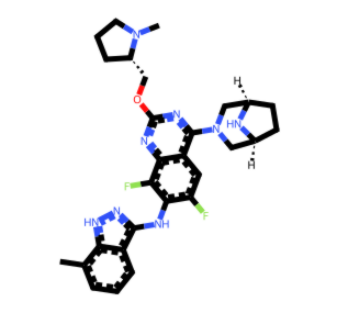 Cc1cccc2c(Nc3c(F)cc4c(N5C[C@H]6CC[C@@H](C5)N6)nc(OC[C@@H]5CCCN5C)nc4c3F)n[nH]c12